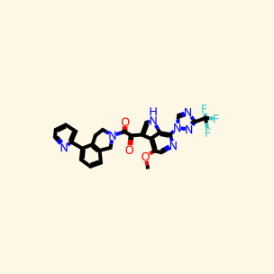 COc1cnc(-n2cnc(C(F)(F)F)n2)c2[nH]cc(C(=O)C(=O)N3CCc4c(cccc4-c4ccccn4)C3)c12